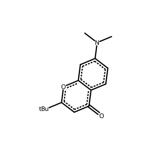 CN(C)c1ccc2c(=O)cc(C(C)(C)C)oc2c1